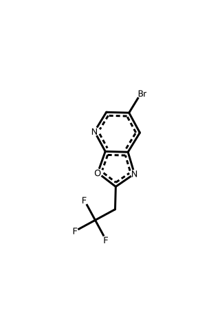 FC(F)(F)Cc1nc2cc(Br)cnc2o1